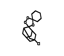 ClC12CC3CC(C1)C1(OOC4(CCCCC4)O1)C(C3)C2